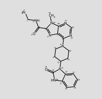 CC(C)CNC(=O)c1nc2c(N3CCC(n4c(=O)[nH]c5ccccc54)CC3)ncnc2n1C